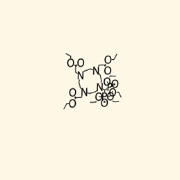 CCOC(=O)CN1CCN(CC(=O)OCC)CCN(C(P(=O)(OCC)OCC)P(=O)(OCC)OCC)CCN(CC(=O)OCC)CC1